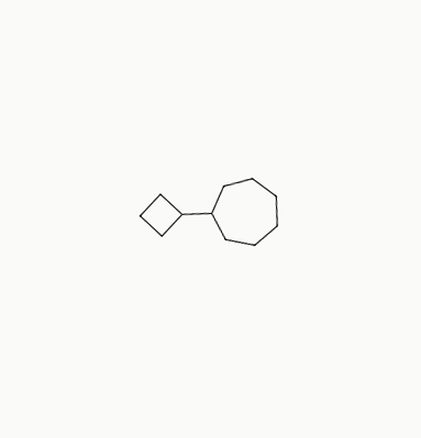 C1CCCC(C2CCC2)CC1